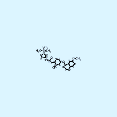 COc1ccc2ncnc(Oc3cnc(CC(=O)Nc4cnn(C(C)(C)C)c4)c(Cl)c3)c2c1